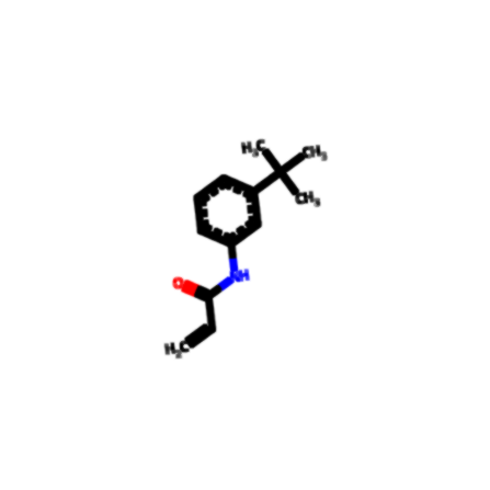 C=CC(=O)Nc1cccc(C(C)(C)C)c1